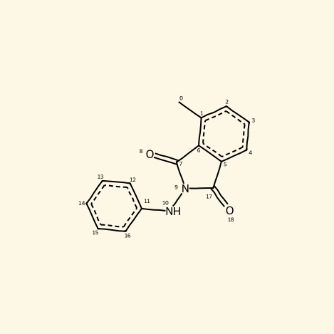 Cc1cccc2c1C(=O)N(Nc1ccccc1)C2=O